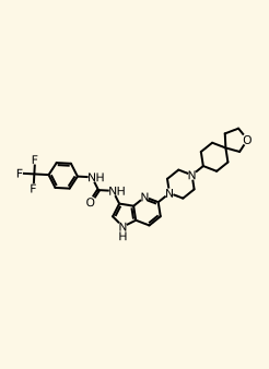 O=C(Nc1ccc(C(F)(F)F)cc1)Nc1c[nH]c2ccc(N3CCN(C4CCC5(CCOC5)CC4)CC3)nc12